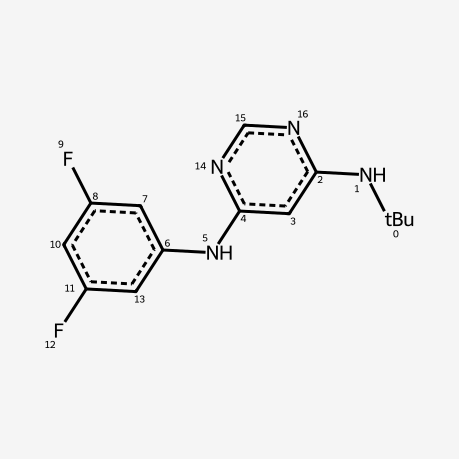 CC(C)(C)Nc1cc(Nc2cc(F)cc(F)c2)ncn1